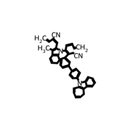 C=C/C=C\C(=C(/CC#N)c1cccc(-c2ccc(-n3c4c(c5ccccc53)CC=CC=C4)cc2)c1)n1c(/C=C(/C#N)C=C)c(C)c2c1CCC=C2